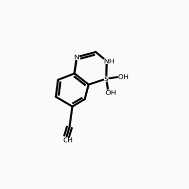 C#Cc1ccc2c(c1)S(O)(O)NC=N2